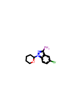 Pc1nn(C2CCCCO2)c2ccc(Br)cc12